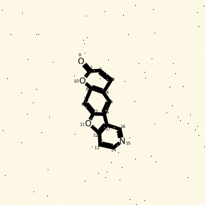 O=c1ccc2cc3c(cc2o1)oc1ccncc13